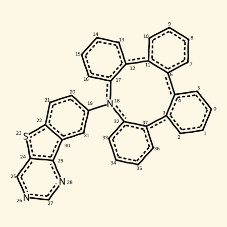 c1ccc2c(c1)c1ccccc1c1ccccc1n(-c1ccc3sc4cncnc4c3c1)c1ccccc21